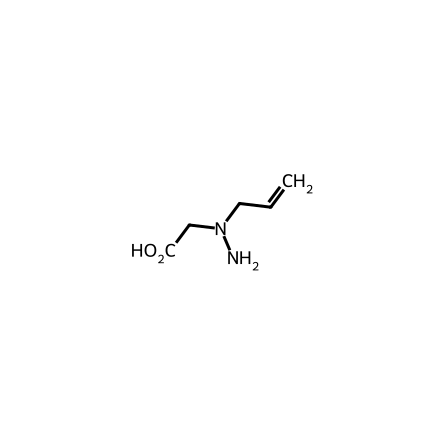 C=CCN(N)CC(=O)O